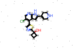 OC1(c2ncc(-c3c(Cl)cnc4[nH]c(C5=CCNCC5)cc34)s2)CCC1